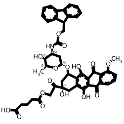 COc1cccc2c1C(=O)c1c(O)c3c(c(O)c1C2=O)C[C@@](O)(C(=O)COC(=O)CCCC(=O)O)CC3O[C@H]1C[C@H](NC(=O)OCC2c3ccccc3-c3ccccc32)[C@H](O)[C@H](C)O1